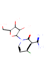 N=C(N)c1c(F)ccn(C2OC(CO)C(O)C2O)c1=O